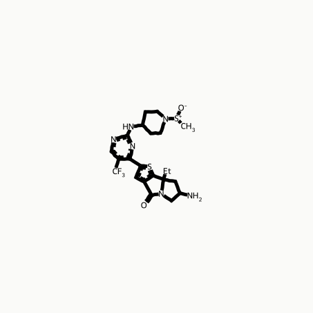 CCC12CC(N)CN1C(=O)c1cc(-c3nc(NC4CCN([S+](C)[O-])CC4)ncc3C(F)(F)F)sc12